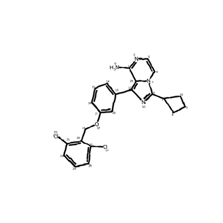 Nc1nccn2c(C3CCC3)nc(-c3cccc(OCc4c(Cl)cccc4Cl)c3)c12